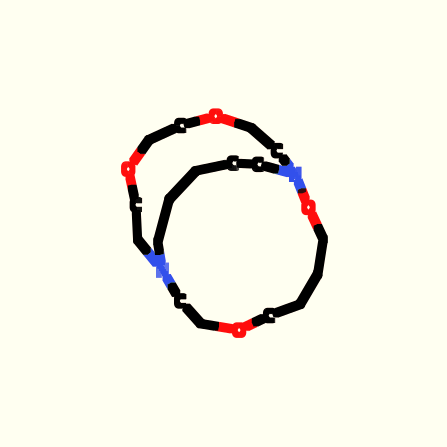 C1CCN2CCOCCCCON(CC1)CCOCCOCC2